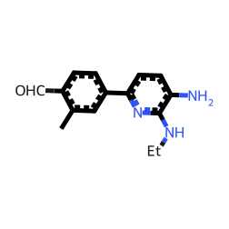 CCNc1nc(-c2ccc(C=O)c(C)c2)ccc1N